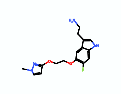 Cn1ccc(OCCOc2cc3c(CCN)c[nH]c3cc2F)n1